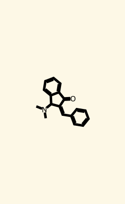 CN(C)C1C(=Cc2ccccc2)C(=O)c2ccccc21